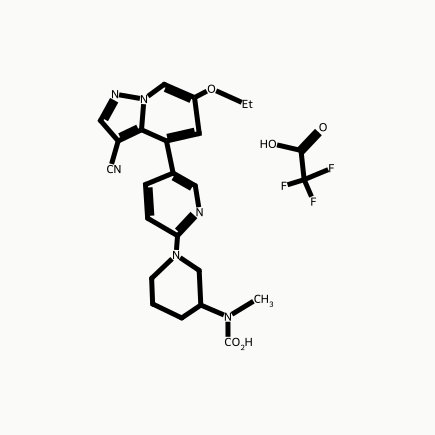 CCOc1cc(-c2ccc(N3CCCC(N(C)C(=O)O)C3)nc2)c2c(C#N)cnn2c1.O=C(O)C(F)(F)F